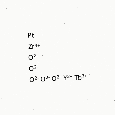 [O-2].[O-2].[O-2].[O-2].[O-2].[Pt].[Tb+3].[Y+3].[Zr+4]